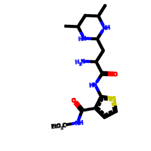 CCOC(=O)NC(=O)c1ccsc1NC(=O)C(N)CC1NC(C)CC(C)N1